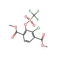 COC(=O)c1ccc(C(=O)OC)c(OS(=O)(=O)C(F)(F)F)c1Cl